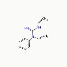 C=CNC(=N)N(C=C)c1ccccc1